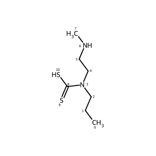 CCCN(CCNC)C(=S)S